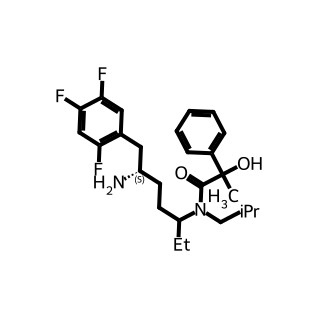 CCC(CC[C@H](N)Cc1cc(F)c(F)cc1F)N(CC(C)C)C(=O)C(C)(O)c1ccccc1